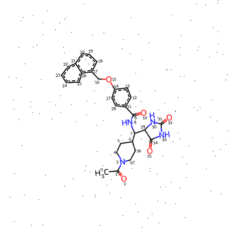 CC(=O)N1CCC(C(NC(=O)c2ccc(OCc3cccc4ccccc34)cc2)C2NC(=O)NC2=O)CC1